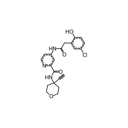 C#CC1(NC(=O)c2cc(NC(=O)Cc3cc(Cl)ccc3O)ccn2)CCOCC1